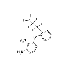 Nc1cccc(Oc2ccccc2C(F)(F)C(F)(F)C(F)F)c1N